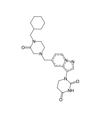 O=C1CCN(c2cnn3ccc(CN4CCN(CC5CCCCC5)C(=O)C4)cc23)C(=O)N1